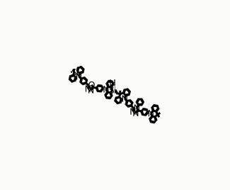 CC1(C)c2ccccc2N(c2ccc(-c3nnc(-c4ccc(N5c6ccccc6C(C)(CC[SiH]6c7ccccc7N(c7ccc(-c8nnc(-c9ccc(N%10c%11ccccc%11[Si](C)(C)c%11ccccc%11%10)cc9)o8)cc7)c7ccccc76)c6ccccc65)cc4)n3-c3ccccc3)cc2)c2ccccc21